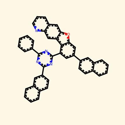 c1ccc(-c2nc(-c3ccc4ccccc4c3)nc(-c3cc(-c4ccc5ccccc5c4)cc4oc5cc6cccnc6cc5c34)n2)cc1